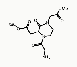 COC(=O)CN1CCN(C(=O)CN)[C@@H](CC(=O)OC(C)(C)C)C1=O